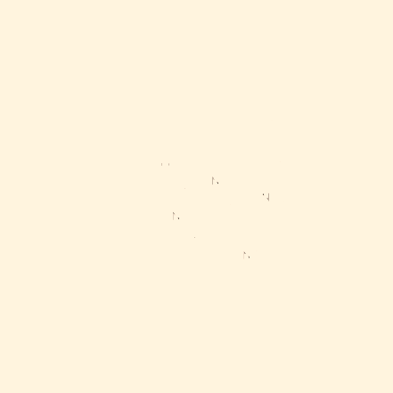 Nc1c(N=O)c(=O)n(CC2CCC2)c(=O)n1CC1CCC1